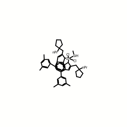 CCCC1(CC2=Cc3c(-c4cc(C)cc(C)c4)cccc3[CH]2[Zr]([Cl])([Cl])([CH]2C(CC3(CCC)CCCC3)=Cc3c(-c4cc(C)cc(C)c4)cccc32)[SiH](C)C)CCCC1